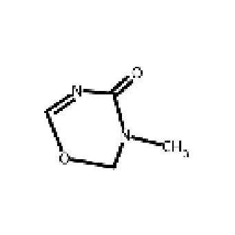 CN1COC=NC1=O